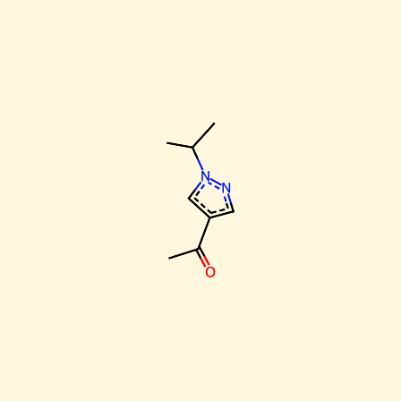 CC(=O)c1cnn(C(C)C)c1